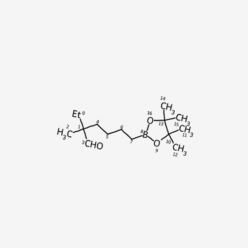 CCC(C)(C=O)CCCCB1OC(C)(C)C(C)(C)O1